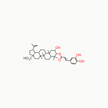 C=C(C)C1CCC2(C(=O)O)CCC3(C)C(CCC4C5(C)CC(O)C(OC(=O)/C=C/c6ccc(O)c(O)c6)C(C)(C)C5CCC43C)C12